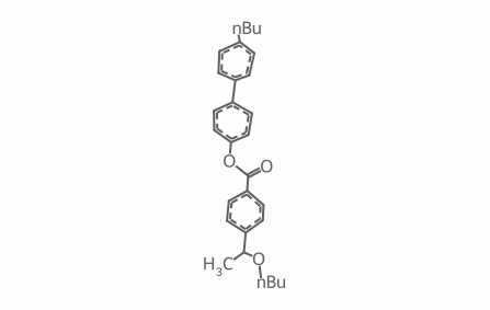 CCCCOC(C)c1ccc(C(=O)Oc2ccc(-c3ccc(CCCC)cc3)cc2)cc1